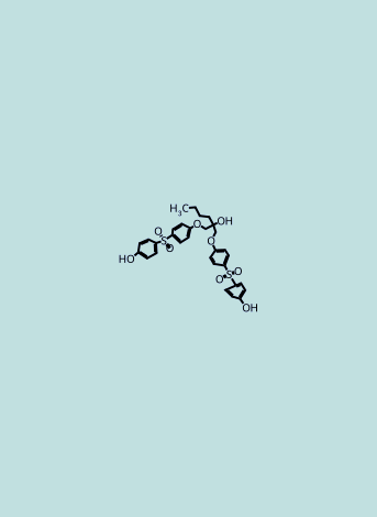 CCCCC(O)(COc1ccc(S(=O)(=O)c2ccc(O)cc2)cc1)COc1ccc(S(=O)(=O)c2ccc(O)cc2)cc1